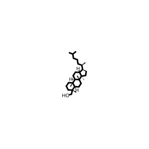 CC(C)CCC[C@@H](C)[C@H]1CC[C@]2(C)[C@@H]1CC[C@@H]1[C@@]3(C)CCC[C@@](C)(CO)[C@@H]3CC[C@]12C